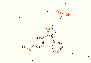 CSc1ccc(-c2oc(SCC(=O)O)nc2-c2ccccc2)cc1